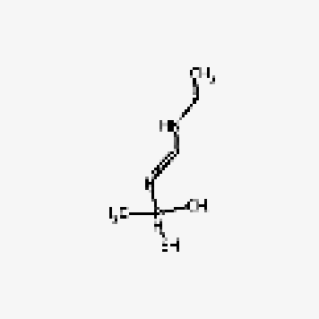 CCN/C=N/[PH](C)(C)S